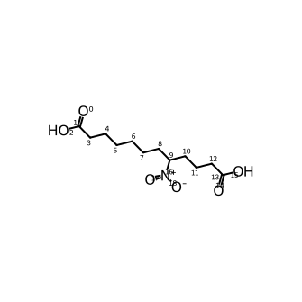 O=C(O)CCCCCCC(CCCC(=O)O)[N+](=O)[O-]